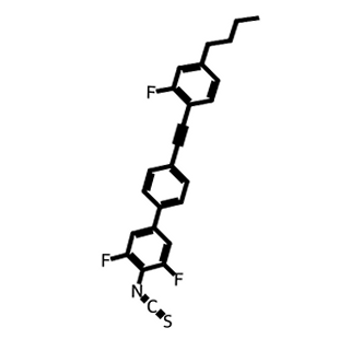 CCCCc1ccc(C#Cc2ccc(-c3cc(F)c(N=C=S)c(F)c3)cc2)c(F)c1